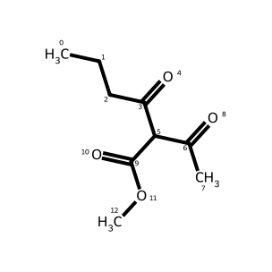 CCCC(=O)C(C(C)=O)C(=O)OC